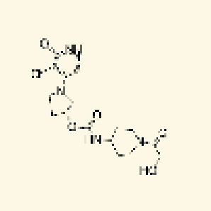 C[C@H](O)C(=O)N1CCC(NC(=O)O[C@@H]2CCN(c3cn[nH]c(=O)c3Cl)C2)CC1